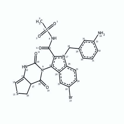 CS(=O)(=O)NC(=O)c1c(N2C(=O)NC3=CSCC3C2=O)c2cc(Br)ccc2n1Cc1cccc(N)c1